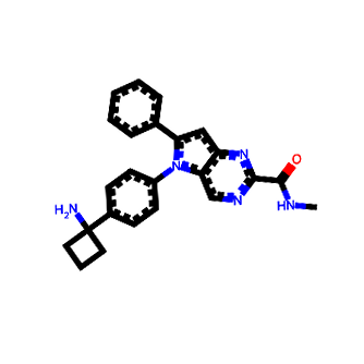 CNC(=O)c1ncc2c(cc(-c3ccccc3)n2-c2ccc(C3(N)CCC3)cc2)n1